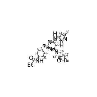 CCC(=O)Nc1ccc(SC2=N[C@H](N3CC(O)(C4CC4)C3)CC(Nc3cc(C)n[nH]3)=N2)cc1